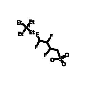 CC[N+](CC)(CC)CC.O=S(=O)([O-])CC(F)C(F)C(F)F